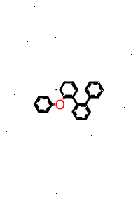 [CH]1CC=CC(c2ccccc2-c2ccccc2)=C1Oc1ccccc1